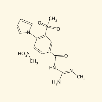 CN=C(N)NC(=O)c1ccc(-n2cccc2)c(S(C)(=O)=O)c1.CS(=O)(=O)O